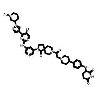 CC(=O)N1CCCC(n2cc(-c3nc(Nc4cncc(N5CCC6(CCN(C(=O)CN7CCC(c8ccc(NC9CCC(=O)NC9=O)cc8)CC7)CC6)C5=O)c4)ncc3Cl)cn2)C1